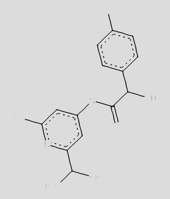 Cc1cc(NC(=O)C(C)c2ccc(F)cc2)cc(C(C)C)n1